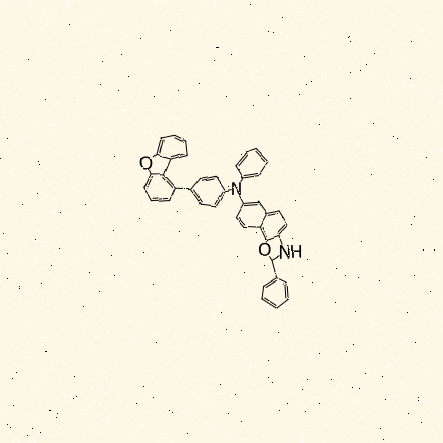 c1ccc(C2Nc3ccc4cc(N(c5ccccc5)c5ccc(-c6cccc7oc8ccccc8c67)cc5)ccc4c3O2)cc1